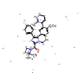 COc1cc2c(cc1-c1cccnc1C#N)-c1c(-c3ccc(F)cc3)nc(C(=O)N3CC[C@]3(C)C#N)n1CC2